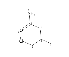 CC(CCl)CC(N)=O